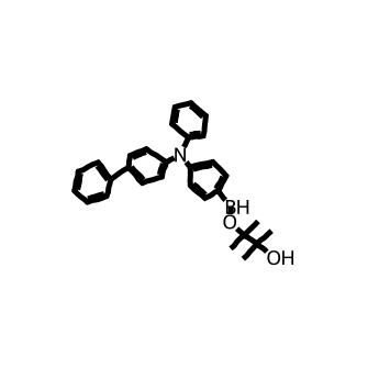 CC(C)(O)C(C)(C)OBc1ccc(N(c2ccccc2)c2ccc(-c3ccccc3)cc2)cc1